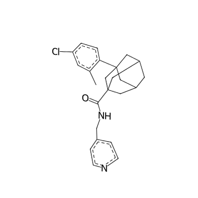 Cc1cc(Cl)ccc1C12CC3CC(CC(C(=O)NCc4ccncc4)(C3)C1)C2